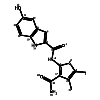 Cc1sc(NC(=O)c2cc3cc(O)ccc3[nH]2)c(C(N)=O)c1C